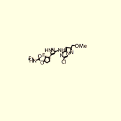 COCc1cc2c(Nc3cc([C@H]4CC[C@@H](OC(=O)NC(C)C)[C@H]4F)[nH]n3)nc(Cl)cn2n1